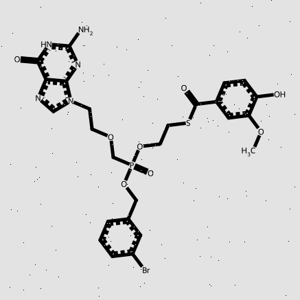 COc1cc(C(=O)SCCOP(=O)(COCCn2cnc3c(=O)[nH]c(N)nc32)OCc2cccc(Br)c2)ccc1O